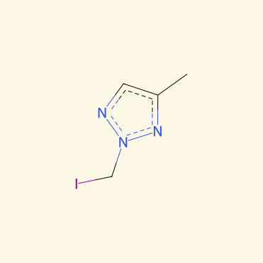 Cc1cnn(CI)n1